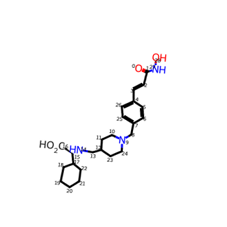 O=C(C=Cc1ccc(CN2CCC(CN[C@H](C(=O)O)C3CCCCC3)CC2)cc1)NO